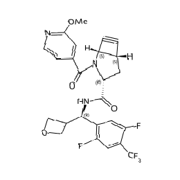 COc1cc(C(=O)N2[C@@H](C(=O)N[C@@H](c3cc(F)c(C(F)(F)F)cc3F)C3COC3)C[C@H]3C#C[C@H]32)ccn1